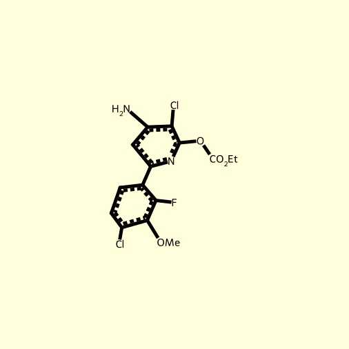 CCOC(=O)Oc1nc(-c2ccc(Cl)c(OC)c2F)cc(N)c1Cl